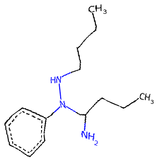 CCCCNN(c1ccccc1)C(N)CCC